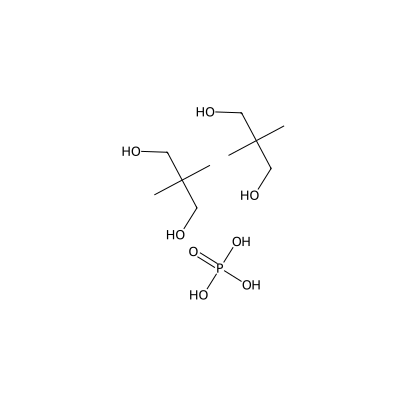 CC(C)(CO)CO.CC(C)(CO)CO.O=P(O)(O)O